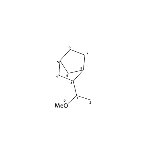 COC(C)C1CC2CCC1C2